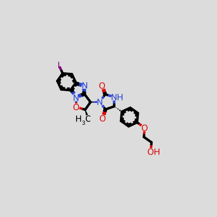 C[C@H]1On2c(nc3cc(I)ccc32)[C@H]1N1C(=O)N[C@H](c2ccc(OCCO)cc2)C1=O